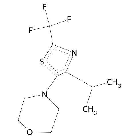 CC(C)c1nc(C(F)(F)F)sc1N1CCOCC1